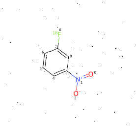 O=[N+]([O-])c1cccc([18F])c1